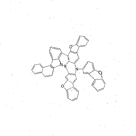 c1ccc2c(c1)ccc1c2c2cccc3c2n1B1c2cc4oc5ccccc5c4cc2N(c2ccc4oc5ccccc5c4c2)c2cc4c(oc5ccccc54)c-3c21